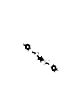 CC1(c2nc(COc3ccc(Cl)cc3)no2)C=C(NC(=O)COc2ccc(F)cc2)C1